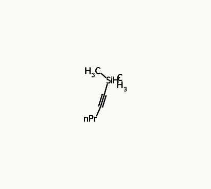 CCCC#C[SiH](C)C